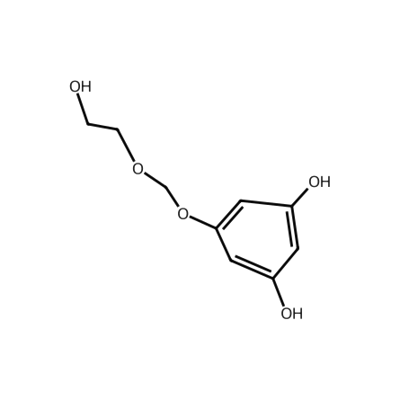 OCCOCOc1cc(O)cc(O)c1